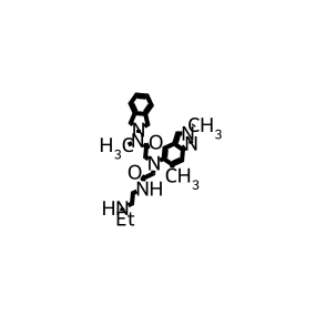 CCNCCNC(=O)CN(CC(=O)N(C)N1Cc2ccccc2C1)c1cc2cn(C)nc2cc1C